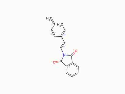 C=C\C=C/C(/C=C/N1C(=O)c2ccccc2C1=O)=C\C